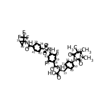 Cc1c(C)n(C)c(=O)n(-c2ccc(C[C@H](NC(=O)c3cc(F)c(NS(=O)(=O)c4ccc(C(=O)NC5(C(F)(F)F)CC5)cc4)cc3F)C(=O)O)cc2)c1=O